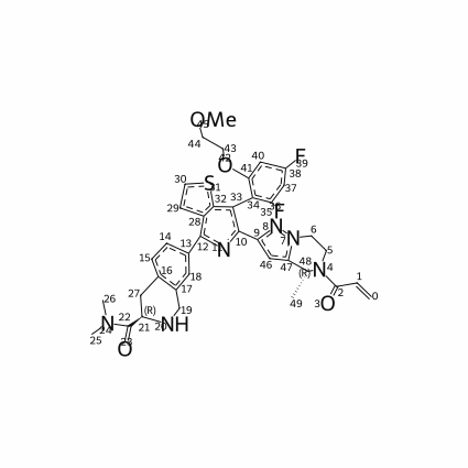 C=CC(=O)N1CCn2nc(-c3nc(-c4ccc5c(c4)CN[C@@H](C(=O)N(C)C)C5)c4ccsc4c3-c3c(F)cc(F)cc3OCCOC)cc2[C@H]1C